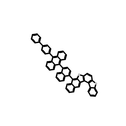 c1ccc(-c2ccc(-c3c4ccccc4c(-c4ccc(-c5c6ccccc6cc6c5oc5ccc7oc8ccccc8c7c56)c5ccccc45)c4ccccc34)cc2)cc1